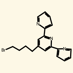 BrCCCCc1cc(-c2ccccn2)nc(-c2ccccn2)c1